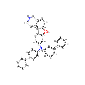 c1ccc(-c2ccc(N(c3cccc(-c4ccccc4)c3)c3ccc4c(c3)oc3ccc5cnccc5c34)cc2)cc1